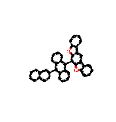 c1ccc2cc(-c3c4ccccc4c(-c4c5oc6ccccc6c5cc5c4oc4ccccc45)c4ccccc34)ccc2c1